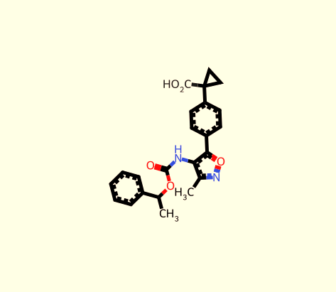 Cc1noc(-c2ccc(C3(C(=O)O)CC3)cc2)c1NC(=O)OC(C)c1ccccc1